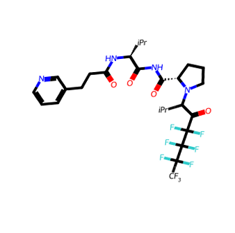 CC(C)C(C(=O)C(F)(F)C(F)(F)C(F)(F)C(F)(F)F)N1CCC[C@H]1C(=O)NC(=O)[C@@H](NC(=O)CCc1cccnc1)C(C)C